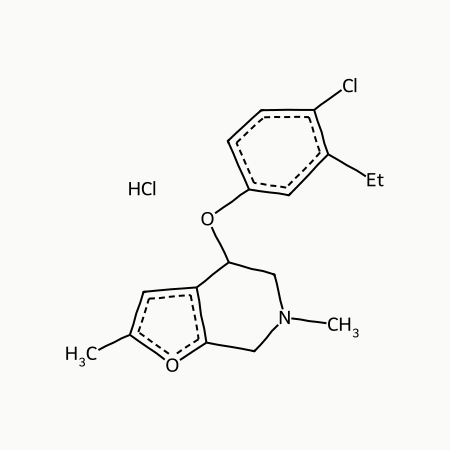 CCc1cc(OC2CN(C)Cc3oc(C)cc32)ccc1Cl.Cl